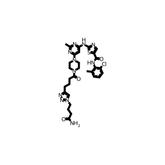 Cc1nc(Nc2ncc(C(=O)Nc3c(C)cccc3Cl)s2)cc(N2CCN(C(=O)CCCc3cn(CCCC(N)=O)nn3)CC2)n1